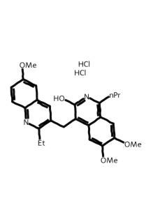 CCCc1nc(O)c(Cc2cc3cc(OC)ccc3nc2CC)c2cc(OC)c(OC)cc12.Cl.Cl